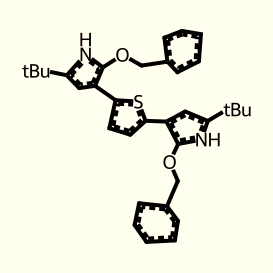 CC(C)(C)c1cc(-c2ccc(-c3cc(C(C)(C)C)[nH]c3OCc3ccccc3)s2)c(OCc2ccccc2)[nH]1